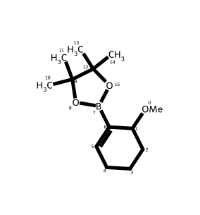 COC1CCCC=C1B1OC(C)(C)C(C)(C)O1